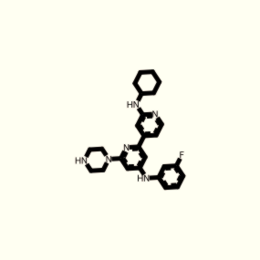 Fc1cccc(Nc2cc(-c3ccnc(NC4CCCCC4)c3)nc(N3CCNCC3)c2)c1